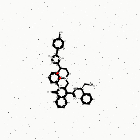 CC[C@H](NC(=O)c1c(CN2CCC(c3nnc(-c4ccc(F)cc4)o3)CC2)n(-c2ccccc2)c(=O)c2ccccc12)c1ccccc1